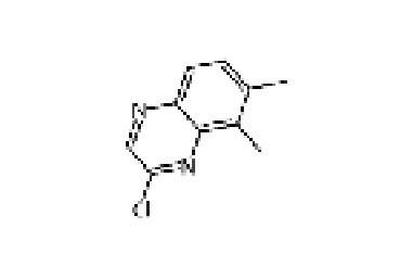 Cc1ccc2ncc(Cl)nc2c1C